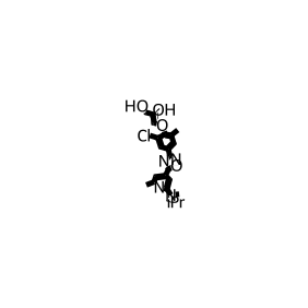 Cc1cc(-c2nc(-c3cc(C)c(OC[C@@H](O)CO)c(Cl)c3)no2)cc(N(C)C(C)C)n1